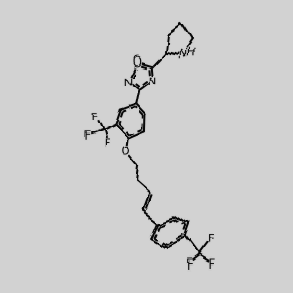 FC(F)(F)c1ccc(/C=C/CCOc2ccc(-c3noc(C4CCCN4)n3)cc2C(F)(F)F)cc1